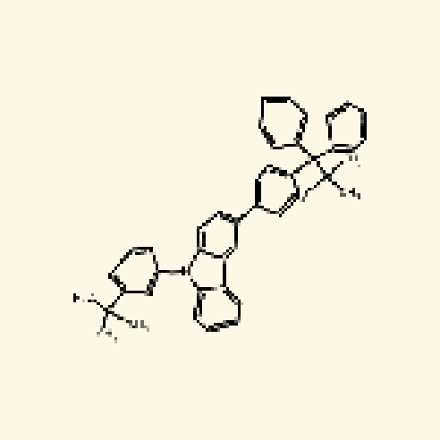 CC(C)(C)c1cccc(-n2c3ccccc3c3cc(-c4ccc(C(c5ccccc5)(c5ccccc5)C(C)(C)C)cc4)ccc32)c1